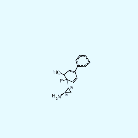 N[C@@H]1C[C@H]1C1(F)C=CC(c2ccccc2)=CC1O